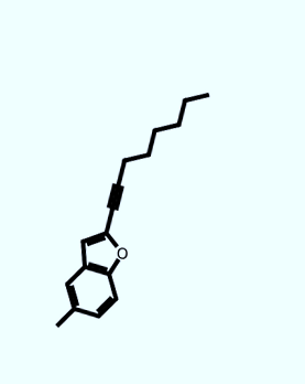 CCCCCCC#Cc1cc2cc(C)ccc2o1